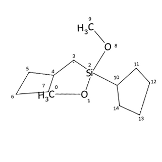 CO[Si]([CH]C1CCC1)(OC)C1CCCC1